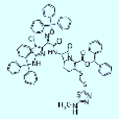 CNc1nnc(SCSC2=C(C(=O)OC(c3ccccc3)c3ccccc3)N3C(=O)C(NC(=O)/C(=N\OC(c4ccccc4)(c4ccccc4)c4ccccc4)c4nc(NC(c5ccccc5)(c5ccccc5)c5ccccc5)sc4Cl)C3CC2)s1